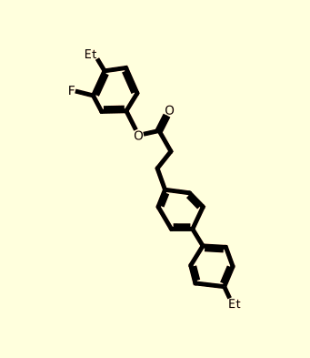 CCc1ccc(-c2ccc(CCC(=O)Oc3ccc(CC)c(F)c3)cc2)cc1